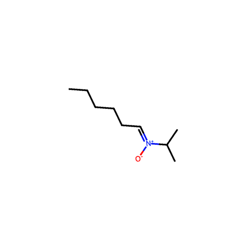 CCCCCC=[N+]([O-])C(C)C